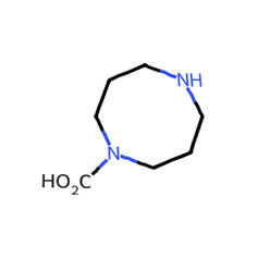 O=C(O)N1CCCNCCC1